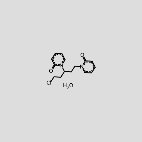 O.O=c1ccccn1CCC(CCCl)n1ccccc1=O